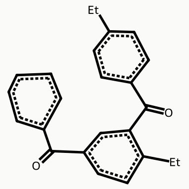 CCc1ccc(C(=O)c2cc(C(=O)c3ccccc3)ccc2CC)cc1